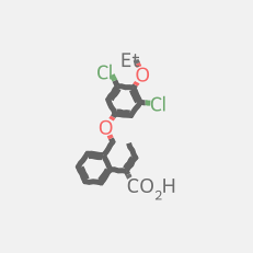 C/C=C(/C(=O)O)c1ccccc1COc1cc(Cl)c(OCC)c(Cl)c1